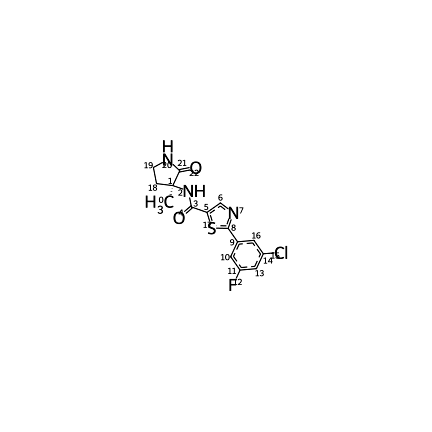 C[C@]1(NC(=O)c2cnc(-c3cc(F)cc(Cl)c3)s2)CCNC1=O